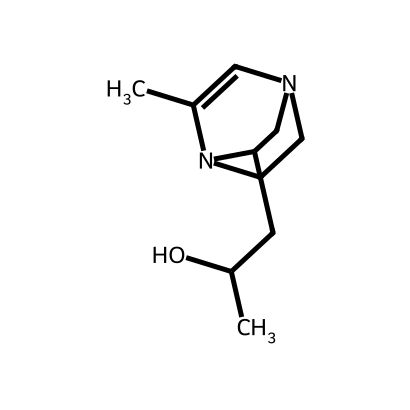 CC1=CN2CCN1C(CC(C)O)C2